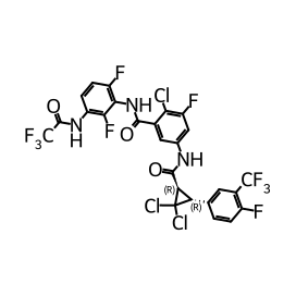 O=C(Nc1c(F)ccc(NC(=O)C(F)(F)F)c1F)c1cc(NC(=O)[C@H]2[C@H](c3ccc(F)c(C(F)(F)F)c3)C2(Cl)Cl)cc(F)c1Cl